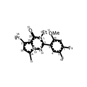 CCn1c(-c2cc(F)c(F)cc2OC)nn2c(C)cc(C(C)C)c2c1=O